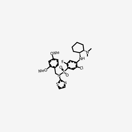 COc1ccc(CN(c2nccs2)S(=O)(=O)c2cc(Cl)c(N[C@H]3CCCC[C@@H]3N(C)C)cc2F)c(OC)c1